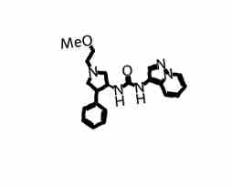 COCCN1CC(c2ccccc2)[C@H](NC(=O)Nc2cnn3ccccc23)C1